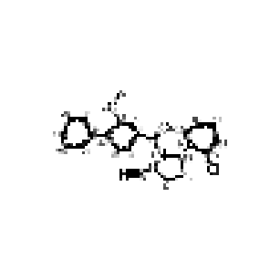 COc1cc(C(=O)N2[C@H](C#N)CC[C@@H]2c2ccccc2Cl)ccc1-c1ccccc1